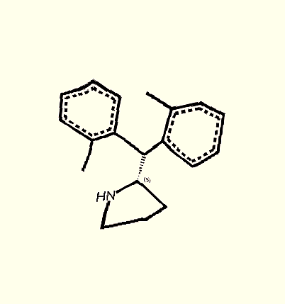 Cc1ccccc1C(c1ccccc1C)[C@@H]1CCCN1